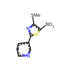 CSc1nc(-c2cccnc2)sc1[N+](=O)[O-]